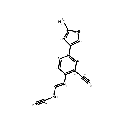 Cc1nc(-c2ccc(/N=C/NC#N)c(C#N)c2)c[nH]1